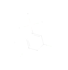 Fc1cc(F)cc([B-](F)(F)F)c1.[Li+]